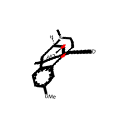 COc1ccc2c(c1)[C@]13CCN(C)[C@H](C2)[C@]1(O)CCC(=O)C3